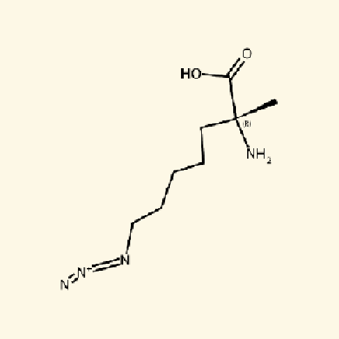 C[C@@](N)(CCCCCN=[N+]=[N-])C(=O)O